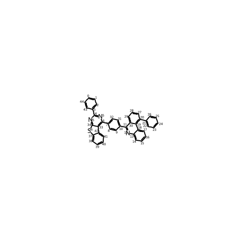 c1ccc(-c2nc(-c3ccc(-c4nc5ccccc5c5c(-c6ccccc6)cccc45)cc3)c3c(n2)sc2ccccc23)cc1